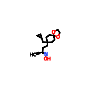 C#CC(CCC1(CC2CC2)CCC2(CC1)OCCO2)=NO